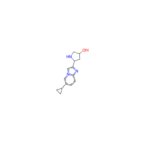 OC1CNC(c2cn3cc(C4CC4)ccc3n2)C1